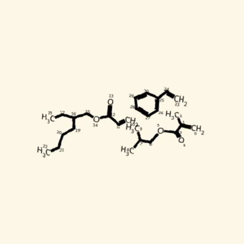 C=C(C)C(=O)OCC(C)C.C=CC(=O)OCC(CC)CCCC.C=Cc1ccccc1